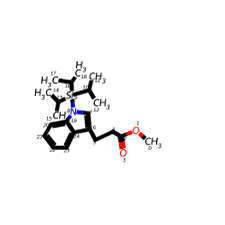 COC(=O)CCc1cn([Si](C(C)C)(C(C)C)C(C)C)c2ccccc12